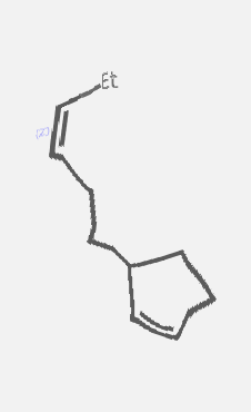 CC/C=C\CCC1C=CCC1